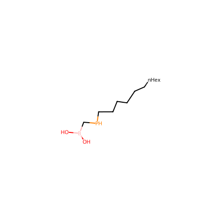 CCCCCCCCCCCCPCB(O)O